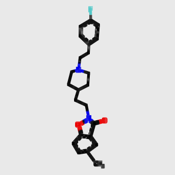 Cc1ccc2on(CCC3CCN(CCc4ccc(F)cc4)CC3)c(=O)c2c1